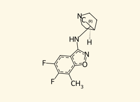 Cc1c(F)c(F)cc2c(N[C@H]3CN4CCC3CC4)noc12